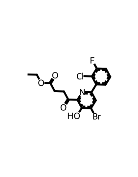 CCOC(=O)CCC(=O)c1nc(-c2cccc(F)c2Cl)cc(Br)c1O